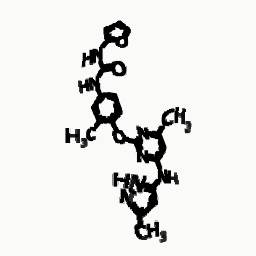 Cc1cc(Nc2cc(C)nc(Oc3ccc(NC(=O)Nc4ccco4)cc3C)n2)[nH]n1